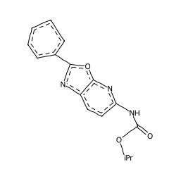 CC(C)OC(=O)Nc1ccc2nc(-c3ccccc3)oc2n1